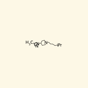 Cc1cnn(C2CCN(CCCCC(C)C)CC2)c1